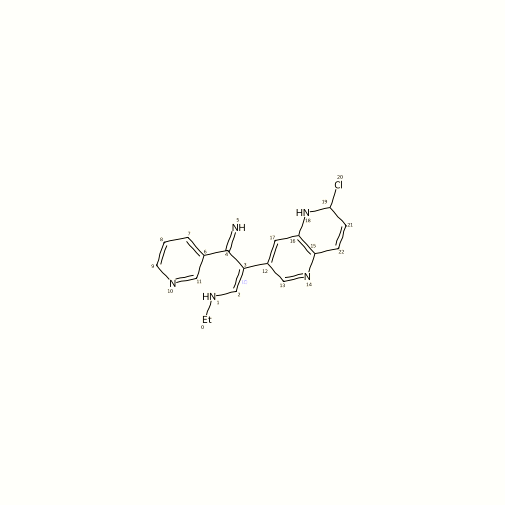 CCN/C=C(\C(=N)c1cccnc1)c1cnc2c(c1)NC(Cl)C=C2